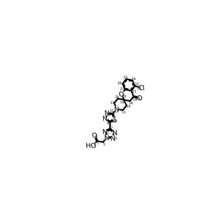 O=C(O)Cn1nnc(-c2nnc(N3CCC4(CC3)CC(=O)c3c(Cl)cccc3O4)s2)n1